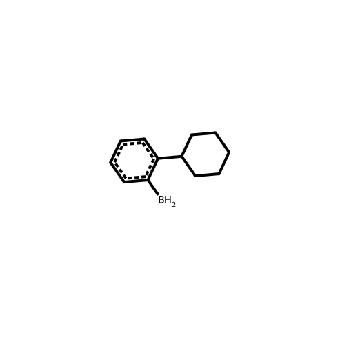 Bc1ccccc1C1CCCCC1